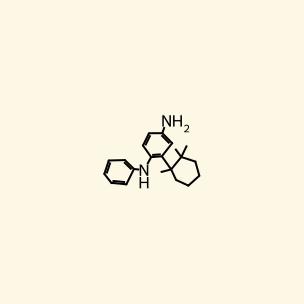 CC1(C)CCCCC1(C)c1cc(N)ccc1Nc1ccccc1